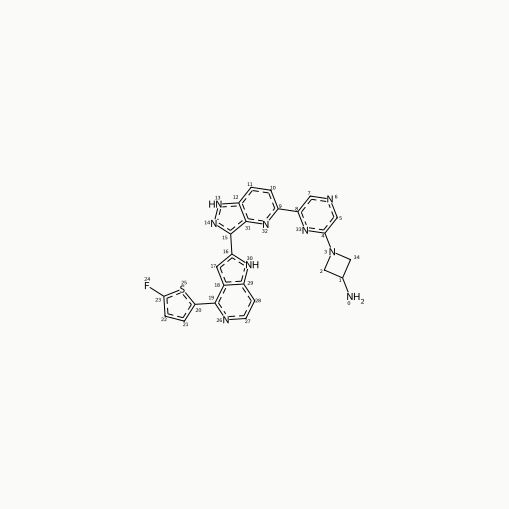 NC1CN(c2cncc(-c3ccc4[nH]nc(-c5cc6c(-c7ccc(F)s7)nccc6[nH]5)c4n3)n2)C1